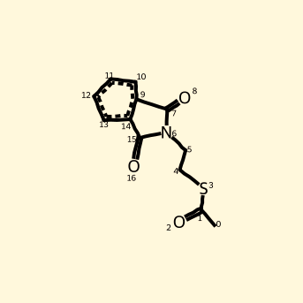 CC(=O)SCCN1C(=O)c2ccccc2C1=O